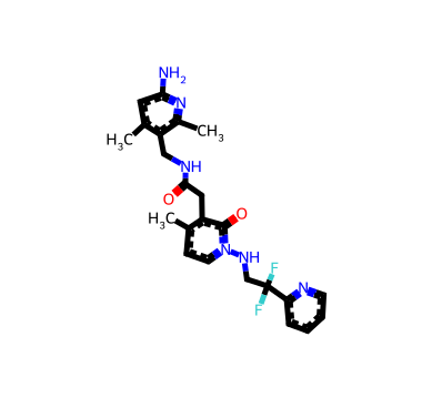 Cc1cc(N)nc(C)c1CNC(=O)Cc1c(C)ccn(NCC(F)(F)c2ccccn2)c1=O